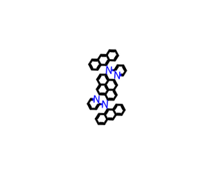 c1ccc(N(c2c3ccccc3cc3ccccc23)c2ccc3ccc4c(N(c5ccccn5)c5c6ccccc6cc6ccccc56)ccc5ccc2c3c54)nc1